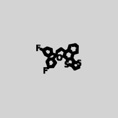 Fc1ccc(C2(c3ccc(F)cc3)C=Cc3c(c4sc5ccsc5c4c4ccccc34)O2)cc1